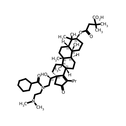 CC(C)C1=C2[C@H]3CC[C@@H]4[C@@]5(C)CC[C@H](OC(=O)CC(C)(C)C(=O)O)C(C)(C)[C@H]5CC[C@@]4(C)[C@]3(C)CC[C@@]2([C@H](O)CN(CCN(C)C)C(=O)C2CCCCC2)CC1=O